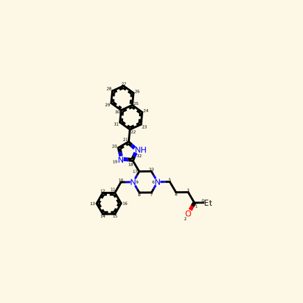 CCC(=O)CCCN1CCN(Cc2ccccc2)C(c2ncc(-c3ccc4ccccc4c3)[nH]2)C1